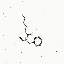 C=CN(Cc1ccccc1)C(=O)CCCCC